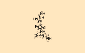 CNCNC(S)NSc1cc(Cl)c(Nc2ccc(F)cc2N2CCC(NC)C2)cc1F